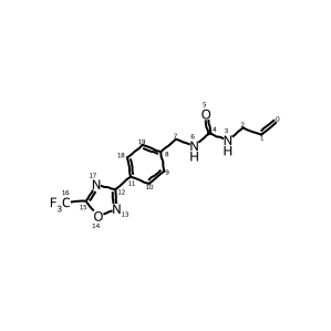 C=CCNC(=O)NCc1ccc(-c2noc(C(F)(F)F)n2)cc1